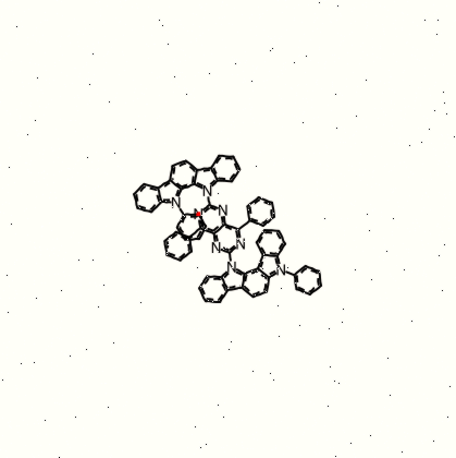 c1ccc(-c2nc(-n3c4ccccc4c4ccc5c6ccccc6n(-c6ccccc6)c5c43)nc3c(-c4ccccc4)nc(-n4c5ccccc5c5ccc6c(c7ccccc7n6-c6ccccc6)c54)nc23)cc1